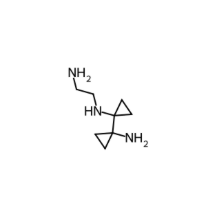 NCCNC1(C2(N)CC2)CC1